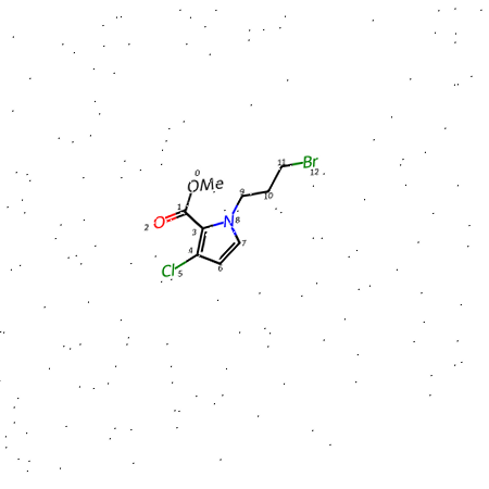 COC(=O)c1c(Cl)ccn1CCCBr